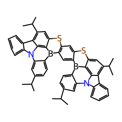 CC(C)c1ccc2c(c1)-n1c3ccccc3c3c(C(C)C)cc4c(c31)B2c1cc2c(cc1S4)Sc1cc(C(C)C)c3c4ccccc4n4c3c1B2c1ccc(C(C)C)cc1-4